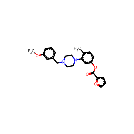 Cc1ccc(OC(=O)c2ccco2)cc1N1CCN(Cc2cccc(OC(F)(F)F)c2)CC1